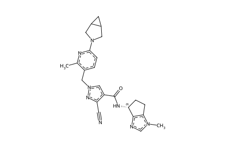 Cc1nc(N2CC3CC3C2)ccc1Cn1cc(C(=O)N[C@@H]2CCc3c2ncn3C)c(C#N)n1